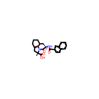 C[C@@]1(C(=O)O)CCCN1C(=O)[C@@H](CC1CCCCC1)NC(=O)c1ccc2ccccc2c1